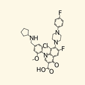 COc1cc(CNC2CCCC2)ccc1-n1cc(C(=O)O)c(=O)c2cc(F)c(N3CCN(c4ccc(F)cc4)CC3)c(Cl)c21